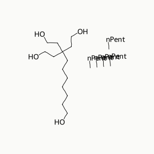 CCCCCC.CCCCCC.CCCCCC.CCCCCC.CCCCCC.OCCCCCCCC(CCO)(CCO)CCO